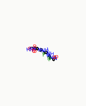 CN(c1cccc(CNc2cc(Nc3ccc(CNC4CCN(c5ccc6c(c5)C(=O)N(C5CCC(=O)NC5=O)C6=O)CC4)c(F)c3)ncc2C(F)(F)F)c1)S(C)(=O)=O